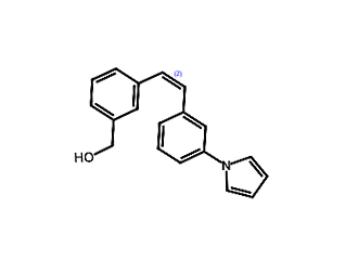 OCc1cccc(/C=C\c2cccc(-n3cccc3)c2)c1